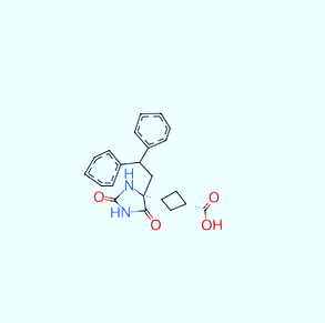 O=C1NC(=O)C(CC(c2ccccc2)c2ccccc2)([C@H]2C[C@@H](C(=O)O)C2)N1